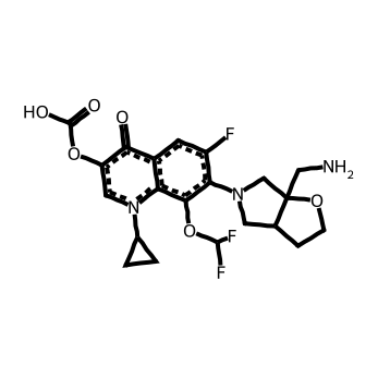 NCC12CN(c3c(F)cc4c(=O)c(OC(=O)O)cn(C5CC5)c4c3OC(F)F)CC1CCO2